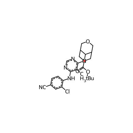 Cc1c(Nc2ccc(C#N)cc2Cl)ncnc1OC1C2COCC1CN(C(=O)OC(C)(C)C)C2